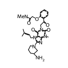 CNC(=O)COc1ccccc1C(=O)Cn1c(=O)c2c(nc(N3CCCC(N)C3)n2CC=C(C)C)n(C)c1=O